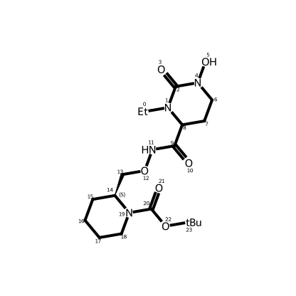 CCN1C(=O)N(O)CCC1C(=O)NOC[C@@H]1CCCCN1C(=O)OC(C)(C)C